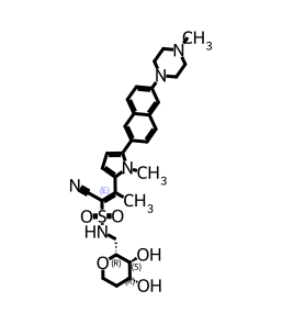 C/C(=C(/C#N)S(=O)(=O)NC[C@H]1OCC[C@@H](O)[C@@H]1O)c1ccc(-c2ccc3cc(N4CCN(C)CC4)ccc3c2)n1C